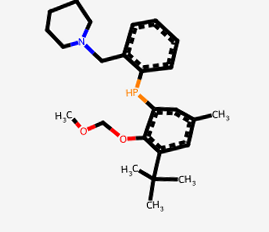 COCOc1c(Pc2ccccc2CN2CCCCC2)cc(C)cc1C(C)(C)C